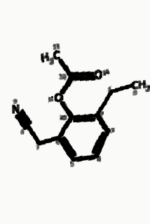 CCc1cccc(CC#N)c1OC(C)=O